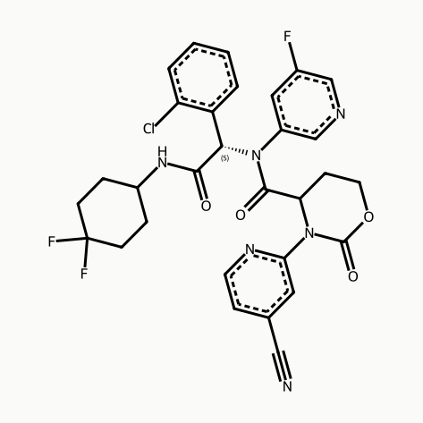 N#Cc1ccnc(N2C(=O)OCCC2C(=O)N(c2cncc(F)c2)[C@H](C(=O)NC2CCC(F)(F)CC2)c2ccccc2Cl)c1